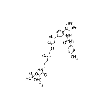 CC[C@@H](CC(=O)OCOC(=O)CCCNC(=O)[C@H](C)OP(=O)(O)O)c1ccc(N(CC(C)C)CC(C)C)c(NC(=O)Nc2ccc(C)cc2)c1